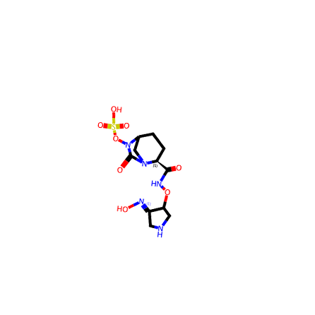 O=C(NOC1CNC/C1=N\O)[C@@H]1CCC2CN1C(=O)N2OS(=O)(=O)O